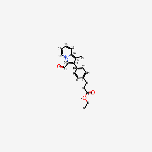 CCOC(=O)CCc1ccc(-c2c(C)c3ccccn3c2C=O)cc1